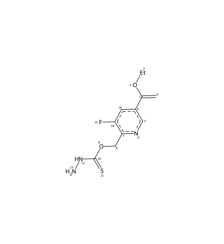 C=C(OCC)c1cnc(COC(=S)NN)c(F)c1